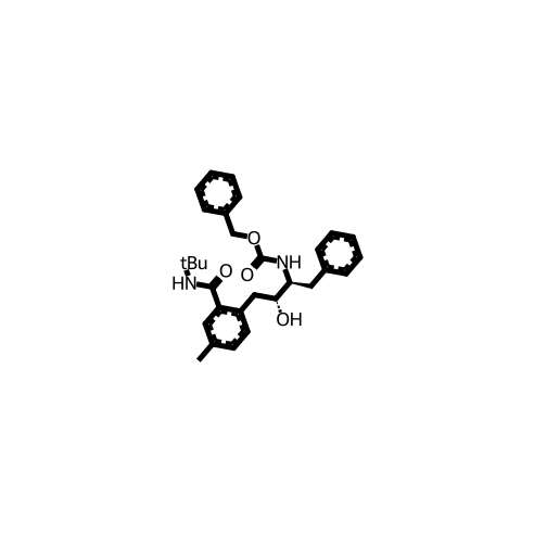 Cc1ccc(C[C@@H](O)[C@H](Cc2ccccc2)NC(=O)OCc2ccccc2)c(C(=O)NC(C)(C)C)c1